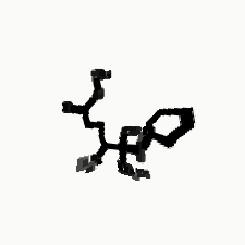 CCOC(=O)C(SC1CCCCC1)(C(=O)OCC)C(N)CCC(=O)OC(C)(C)C